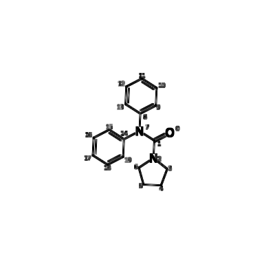 O=C(N1CCCC1)N(c1ccccc1)c1ccccc1